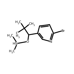 C[SiH](C)OC(c1ccc(Br)nc1)C(C)(C)C